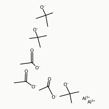 CC(=O)[O-].CC(=O)[O-].CC(=O)[O-].CC(C)(C)[O-].CC(C)(C)[O-].CC(C)(C)[O-].[Al+3].[Al+3]